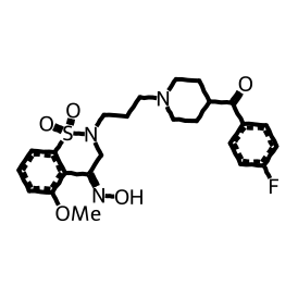 COc1cccc2c1/C(=N/O)CN(CCCN1CCC(C(=O)c3ccc(F)cc3)CC1)S2(=O)=O